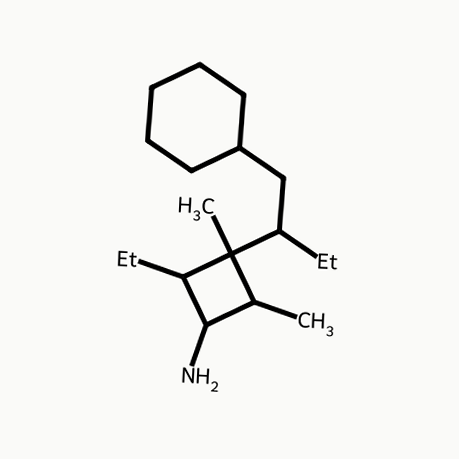 CCC(CC1CCCCC1)C1(C)C(C)C(N)C1CC